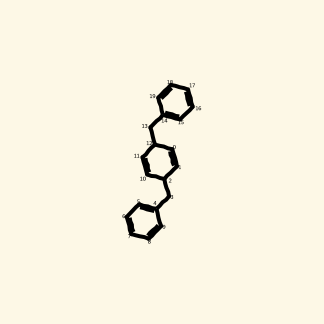 C1=CC(Cc2ccccc2)C=CC1Cc1ccccc1